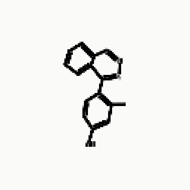 Cc1cc(O)ccc1-c1nncc2ccccc12